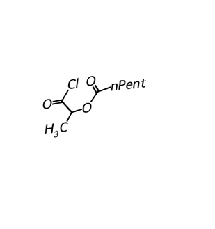 CCCCCC(=O)OC(C)C(=O)Cl